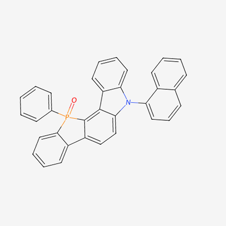 O=P1(c2ccccc2)c2ccccc2-c2ccc3c(c21)c1ccccc1n3-c1cccc2ccccc12